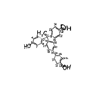 CC(c1ccc(O)cc1)(c1ccc(O)cc1)c1ccc(-c2ccc(O)cc2)cc1